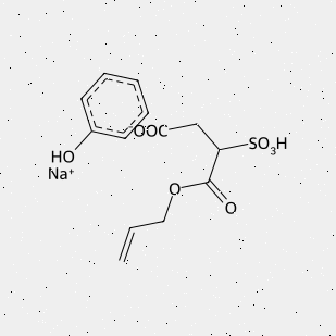 C=CCOC(=O)C(CC(=O)[O-])S(=O)(=O)O.Oc1ccccc1.[Na+]